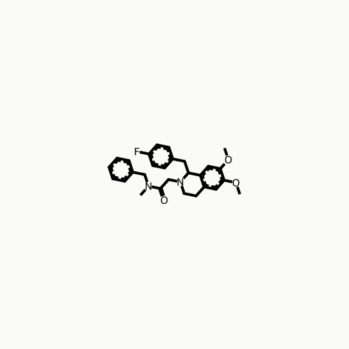 COc1cc2c(cc1OC)C(Cc1ccc(F)cc1)N(CC(=O)N(C)Cc1ccccc1)CC2